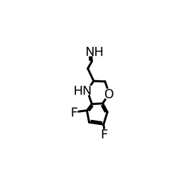 N=CCC1COc2cc(F)cc(F)c2N1